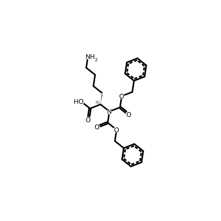 NCCCC[C@@H](C(=O)O)N(C(=O)OCc1ccccc1)C(=O)OCc1ccccc1